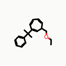 CCOCC1C=CC=CC(C(C)(C)c2ccccc2)=C1